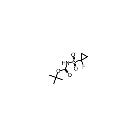 CC(C)(C)OC(=O)NS(=O)(=O)C1(F)CC1